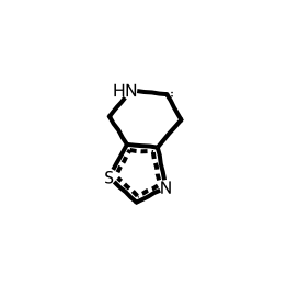 [C]1Cc2ncsc2CN1